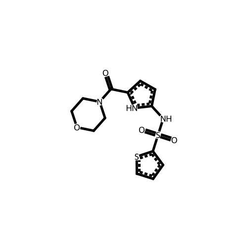 O=C(c1ccc(NS(=O)(=O)c2cccs2)[nH]1)N1CCOCC1